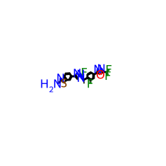 C[C@H](c1c(F)cc(-c2nnc(C(F)F)o2)cc1F)n1cc(-c2ccc3nc(N)sc3c2)nn1